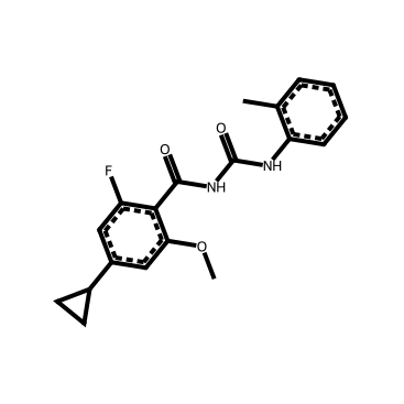 COc1cc(C2CC2)cc(F)c1C(=O)NC(=O)Nc1ccccc1C